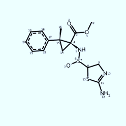 COC(=O)[C@]1(N[S+]([O-])C2CN=C(N)S2)C[C@]1(C)c1ccccc1